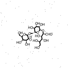 O=C[C@H](O[C@H]1O[C@H](CO[C@@H]2O[C@H](CO)[C@H](O)[C@H](O)[C@H]2O)[C@@H](O)[C@H](O)[C@@H]1O)[C@@H](O)[C@H](O)[C@H](O)CO